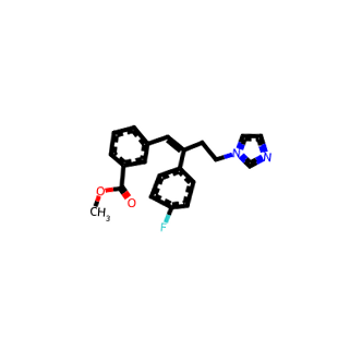 COC(=O)c1cccc(C=C(CCn2ccnc2)c2ccc(F)cc2)c1